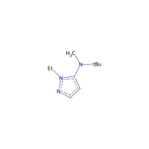 CCn1nccc1N(C)C(C)(C)C